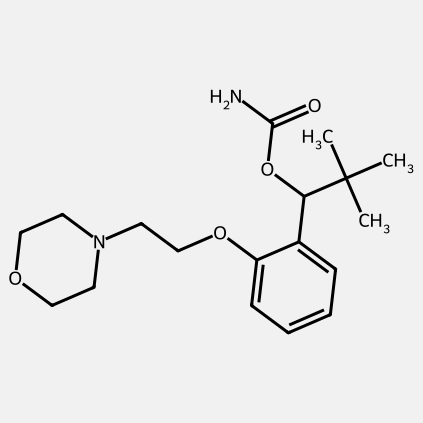 CC(C)(C)C(OC(N)=O)c1ccccc1OCCN1CCOCC1